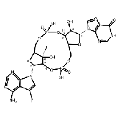 Nc1ncnc2c1c(F)cn2[C@@H]1OC2COP(=O)(S)O[C@@H]3C(COP(=O)(S)O[C@@H]1[C@@H]2O)O[C@@H](n1cnc2c(=O)[nH]cnc21)[C@@H]3O